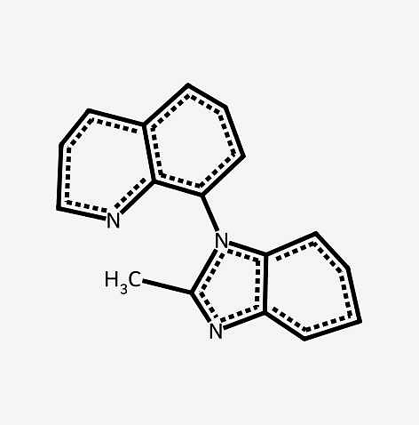 Cc1nc2ccccc2n1-c1cccc2cccnc12